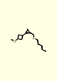 CCCCCOCC1CC1C1CC(OC)C1